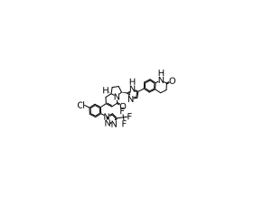 O=C1CCc2cc(-c3cnc([C@@H]4CC[C@@H]5CC(c6cc(Cl)ccc6-n6cc(C(F)(F)F)nn6)=CC(=O)N54)[nH]3)ccc2N1